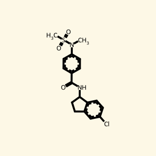 CN(c1ccc(C(=O)NC2CCc3cc(Cl)ccc32)cc1)S(C)(=O)=O